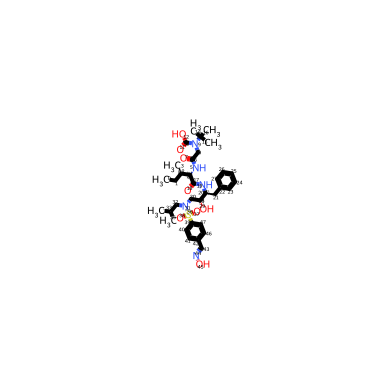 CC[C@H](C)[C@H](NC(=O)CN(C(=O)O)C(C)(C)C)C(=O)N[C@@H](Cc1ccccc1)[C@H](O)CN(CC(C)C)S(=O)(=O)c1ccc(C=NO)cc1